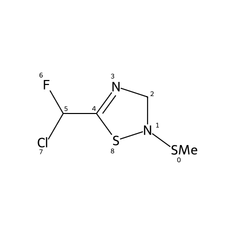 CSN1CN=C(C(F)Cl)S1